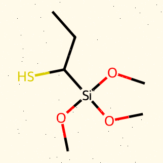 CCC(S)[Si](OC)(OC)OC